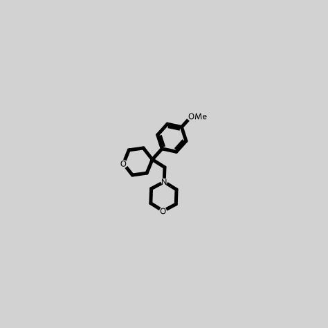 COc1ccc(C2(CN3CCOCC3)CCOCC2)cc1